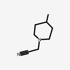 [CH2]C1CCN(CC#N)CC1